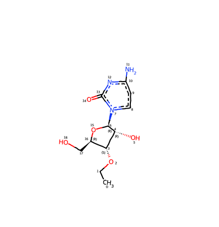 CCO[C@H]1[C@@H](O)[C@H](n2ccc(N)nc2=O)O[C@@H]1CO